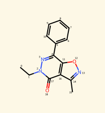 CCn1nc(-c2ccccc2)c2onc(C)c2c1=O